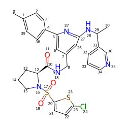 Cc1ccc(-c2cc(CNC(=O)[C@@H]3CCCN3S(=O)(=O)c3ccc(Cl)s3)cc(NC(C)c3cccnc3)n2)cc1